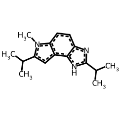 CC(C)c1nc2ccc3c(cc(C(C)C)n3C)c2[nH]1